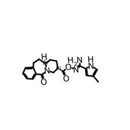 Cc1c[nH]c(C(N)=NOC(=O)[C@@H]2CC[C@@H]3CCc4ccccc4C(=O)N3C2)c1